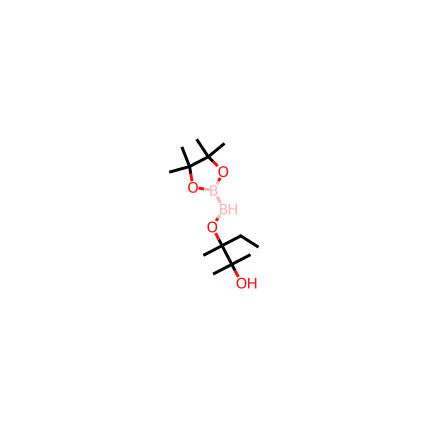 CCC(C)(OBB1OC(C)(C)C(C)(C)O1)C(C)(C)O